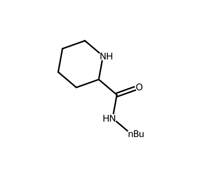 CCCCNC(=O)C1CCCCN1